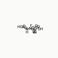 CO[C@H](CO)CONC1CN(c2nc3c(cc2F)c(=O)c(C(=O)O)cn3-c2nccs2)C1